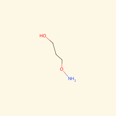 NOCCCO